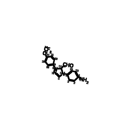 Nc1ccc(N2C=NN(c3ccc(OC(F)(F)F)cc3)C2C=O)cc1